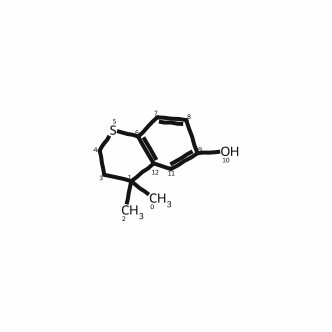 CC1(C)CCSc2ccc(O)cc21